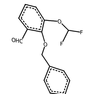 O=Cc1cccc(OC(F)F)c1OCc1ccccc1